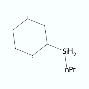 CCC[SiH2]C1[CH]CC[CH]C1